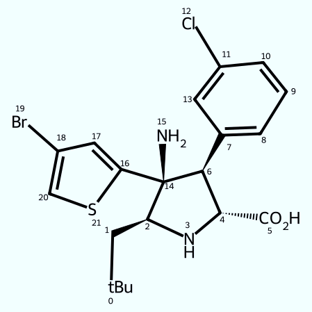 CC(C)(C)C[C@@H]1N[C@@H](C(=O)O)[C@H](c2cccc(Cl)c2)[C@@]1(N)c1cc(Br)cs1